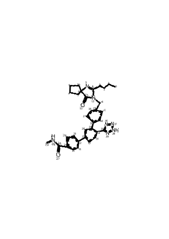 CCCCC1=NC2(CCCC2)C(=O)N1Cc1ccc(-c2cc(-c3ccc(C(=O)NC)cc3)ccc2-c2nn[nH]n2)cc1